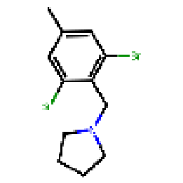 Cc1cc(Br)c(CN2CCCC2)c(Br)c1